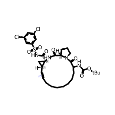 CC(C)(C)OC(=O)NC1CCCCCCC/C=C\[C@@H]2C[C@@]2(C(=O)NS(=O)(=O)c2cc(Cl)cc(Cl)c2)NC(=O)[C@@H]2CCCN2C1=O